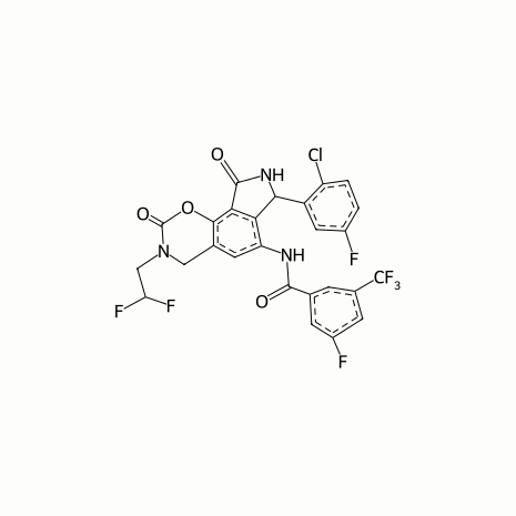 O=C(Nc1cc2c(c3c1C(c1cc(F)ccc1Cl)NC3=O)OC(=O)N(CC(F)F)C2)c1cc(F)cc(C(F)(F)F)c1